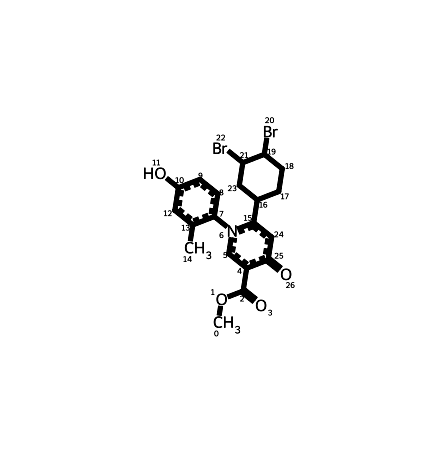 COC(=O)c1cn(-c2ccc(O)cc2C)c(C2CCC(Br)C(Br)C2)cc1=O